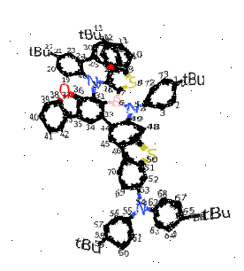 CC(C)(C)c1ccc(N2B3c4sc5ccc(C(C)(C)C)cc5c4N(c4ccc(C(C)(C)C)cc4-c4ccccc4)c4c3c(cc3c4oc4ccccc43)-c3cc4c(cc32)sc2cc(N(c3ccc(C(C)(C)C)cc3)c3ccc(C(C)(C)C)cc3)ccc24)cc1